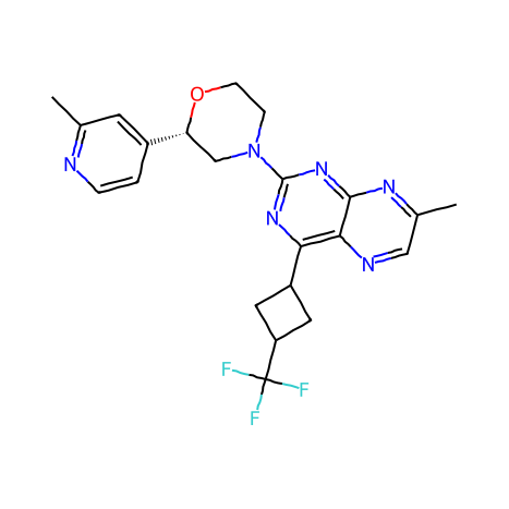 Cc1cc([C@H]2CN(c3nc(C4CC(C(F)(F)F)C4)c4ncc(C)nc4n3)CCO2)ccn1